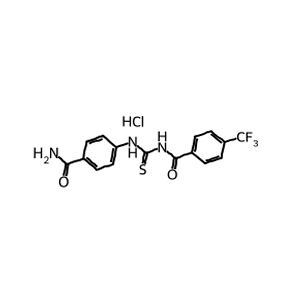 Cl.NC(=O)c1ccc(NC(=S)NC(=O)c2ccc(C(F)(F)F)cc2)cc1